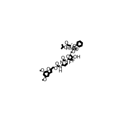 COc1cc(OC)c2oc(COC(=O)Nc3ccn([C@@H]4O[C@H](COP(=O)(N[C@@H](C)C(=O)OC(C)C)Oc5ccccc5)[C@@H](O)C4(F)F)c(=O)n3)cc2c1